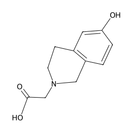 O=C(O)CN1CCc2cc(O)ccc2C1